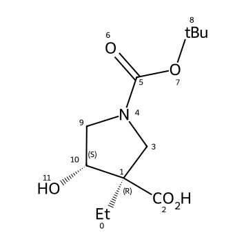 CC[C@@]1(C(=O)O)CN(C(=O)OC(C)(C)C)C[C@H]1O